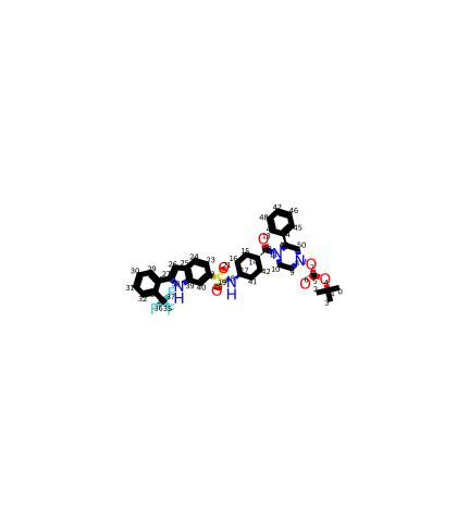 CC(C)(C)OC(=O)ON1CCN(C(=O)[C@H]2CC[C@H](NS(=O)(=O)c3ccc4cc(-c5ccccc5C(F)(F)F)[nH]c4c3)CC2)[C@@H](c2ccccc2)C1